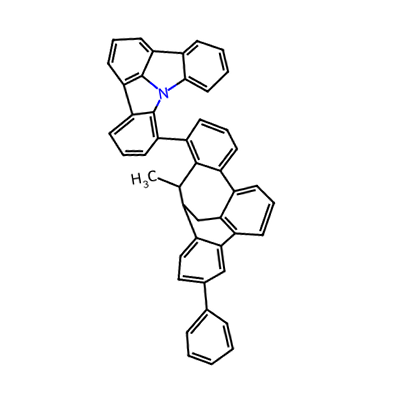 CC1c2c(cccc2-c2cccc3c4cccc5c6ccccc6n(c23)c54)-c2cccc3c2CC1c1ccc(-c2ccccc2)cc1-3